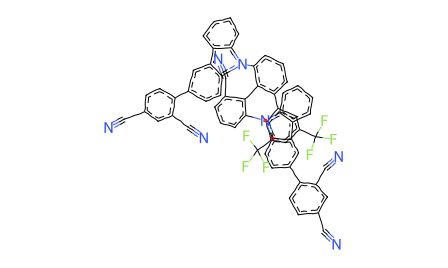 N#Cc1ccc(-c2ccc3c(c2)c2ccccc2n3-c2cccc(C#N)c2-c2c(-c3cc(C(F)(F)F)cc(C(F)(F)F)c3)cccc2-n2c3ccccc3c3cc(-c4ccc(C#N)cc4C#N)ccc32)c(C#N)c1